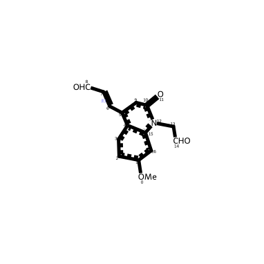 COc1ccc2c(/C=C/C=O)cc(=O)n(CC=O)c2c1